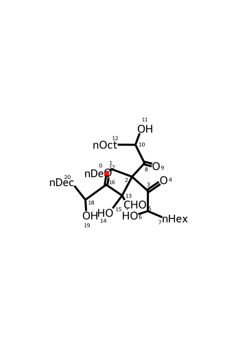 CCCCCCCCCCCC(C(=O)C(O)CCCCCC)(C(=O)C(O)CCCCCCCC)C(O)([C]=O)C(=O)C(O)CCCCCCCCCC